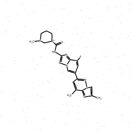 Cc1cn2nc(-c3cc(F)c4nc(NC(=O)[C@@H]5CCCN(C)C5)nn4c3)cc(C)c2n1